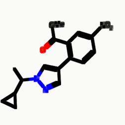 COC(=O)c1cc([N+](=O)[O-])ccc1-c1cnn(C(C)C2CC2)c1